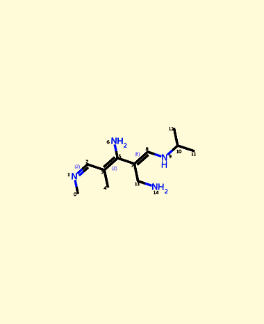 C\N=C/C(C)=C(N)/C(=C/NC(C)C)CN